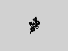 CCN(CC)c1cccc(C(=O)N(C(=O)OC(C)(C)C)c2ccc(F)cc2)n1